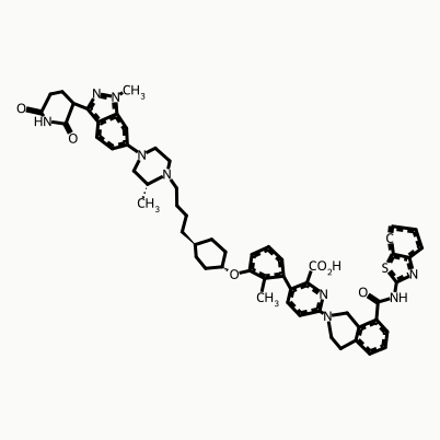 Cc1c(O[C@H]2CC[C@H](CCCCN3CCN(c4ccc5c(C6CCC(=O)NC6=O)nn(C)c5c4)C[C@H]3C)CC2)cccc1-c1ccc(N2CCc3cccc(C(=O)Nc4nc5ccccc5s4)c3C2)nc1C(=O)O